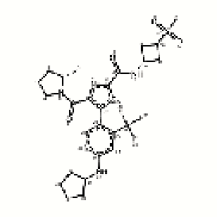 C[C@H]1CCCN1C(=O)c1nc(C(=O)N[C@H]2C[C@H](S(C)(=O)=O)C2)sc1-c1cnc(NC2CCCC2)cc1C(F)(F)F